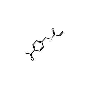 C=CC(=O)OCc1ccc(C(C)=O)cc1